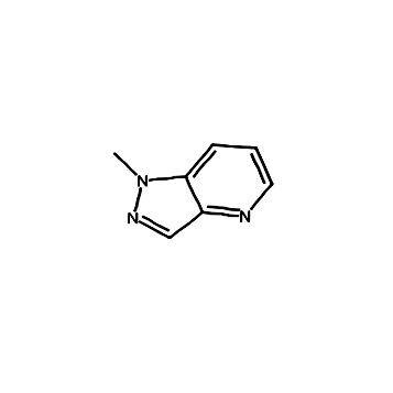 Cn1ncc2ncccc21